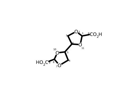 O=C(O)C1OCC(C2COC(C(=O)O)O2)O1